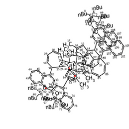 CCCC[Si](CCCC)(CCCC)Oc1cc(C2C=CC=CC3=C2C=C(C)[C]32[SiH](C)[C]3(C(C)=CC4=C3C=CC=CC4c3cc(O[Si](CCCC)(CCCC)CCCC)cc4ccccc34)[Zr]23([Cl])([Cl])[C]2(C(C)=CC4=C2C=CC=CC4c2cc(O[Si](CCCC)(CCCC)CCCC)cc4ccccc24)[SiH](C)[C]32C(C)=CC3=C2C=CC=CC3c2cc(O[Si](CCCC)(CCCC)CCCC)cc3ccccc23)c2ccccc2c1